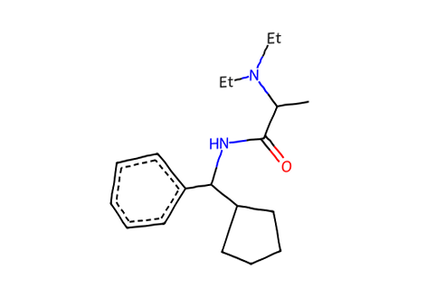 CCN(CC)C(C)C(=O)NC(c1ccccc1)C1CCCC1